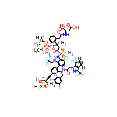 CC(C)OP(=O)(Oc1cccc(CC(=O)N[C@@H](CC(=O)O)C(=O)O)c1C(C)(C)CC(=O)N(c1nn(CC(F)(F)F)c2c(-c3ccc(C#CC(C)(C)S(C)(=O)=O)nc3[C@H](Cc3cc(F)cc(F)c3)NC(=O)Cn3nc(C(F)(F)F)c4c3C(F)(F)[C@@H]3C[C@H]43)ccc(Cl)c12)S(C)(=O)=O)OC(C)C